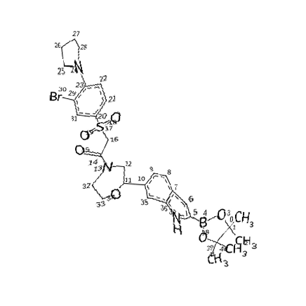 CC1(C)OB(c2cc3ccc(C4CN(C(=O)CS(=O)(=O)c5ccc(N6CCCC6)c(Br)c5)CCO4)cc3[nH]2)OC1(C)C